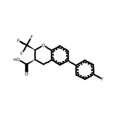 O=C(O)[C@@H]1Cc2cc(-c3ccc(F)cc3)ccc2O[C@@H]1C(F)(F)F